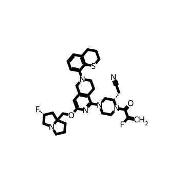 C=C(F)C(=O)N1CCN(c2nc(OCC34CCCN3C[C@H](F)C4)cc3c2CCN(c2cccc4c2SCCC4)C3)C[C@@H]1CC#N